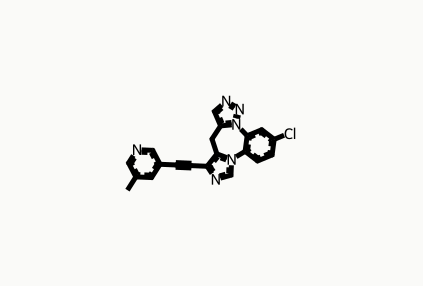 Cc1cncc(C#Cc2ncn3c2Cc2cnnn2-c2cc(Cl)ccc2-3)c1